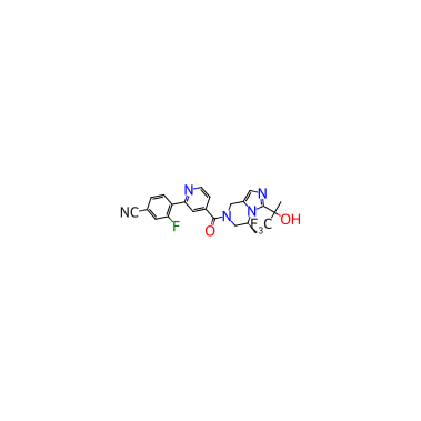 C[C@H]1CN(C(=O)c2ccnc(-c3ccc(C#N)cc3F)c2)Cc2cnc(C(C)(O)C(F)(F)F)n21